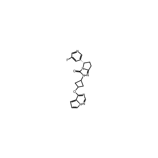 O=c1n(C2CC(Oc3ncnn4cccc34)C2)nc2n1[C@H](c1cncc(F)c1)CC2